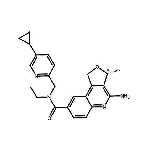 CCN(Cc1ccc(C2CC2)cn1)C(=O)c1ccc2nc(N)c3c(c2c1)CO[C@@H]3C